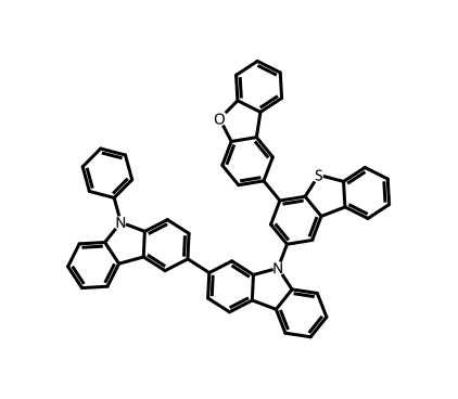 c1ccc(-n2c3ccccc3c3cc(-c4ccc5c6ccccc6n(-c6cc(-c7ccc8oc9ccccc9c8c7)c7sc8ccccc8c7c6)c5c4)ccc32)cc1